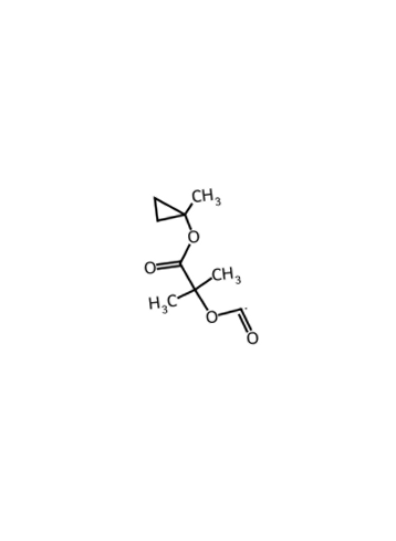 CC1(OC(=O)C(C)(C)O[C]=O)CC1